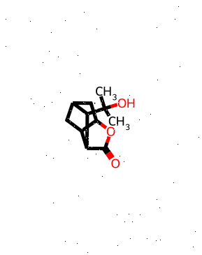 CC(C)(O)C1C2[CH]C3OC(=O)C1C3C2